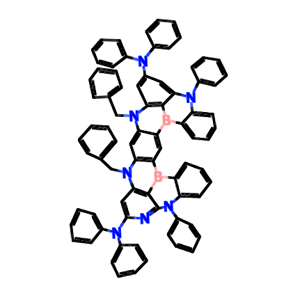 c1ccc(CN2c3cc4c(cc3B3c5ccccc5N(c5ccccc5)c5cc(N(c6ccccc6)c6ccccc6)cc2c53)B2c3ccccc3N(c3ccccc3)c3nc(N(c5ccccc5)c5ccccc5)cc(c32)N4Cc2ccccc2)cc1